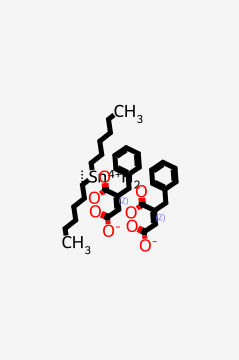 CCCCC[CH2][SnH2+4][CH2]CCCCC.O=C([O-])/C=C(/Cc1ccccc1)C(=O)[O-].O=C([O-])/C=C(/Cc1ccccc1)C(=O)[O-]